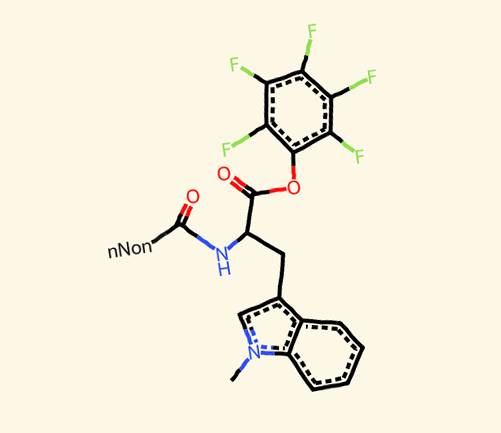 CCCCCCCCCC(=O)NC(Cc1cn(C)c2ccccc12)C(=O)Oc1c(F)c(F)c(F)c(F)c1F